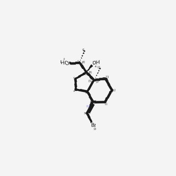 C[C@@H](O)[C@@]1(O)CCC2/C(=C/Br)CCC[C@@]21C